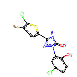 O=c1[nH]c(-c2cc(Br)c(Cl)s2)nn1-c1cc(Cl)ccc1O